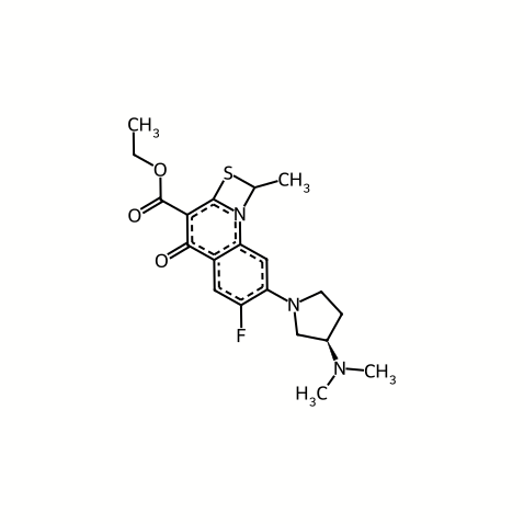 CCOC(=O)c1c2n(c3cc(N4CC[C@@H](N(C)C)C4)c(F)cc3c1=O)C(C)S2